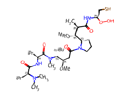 CC[C@H](C)[C@@H]([C@@H](CC(=O)N1CCC[C@H]1[C@H](OC)[C@@H](C)C(=O)N[C@@H](CS)OO)OC)N(C)C(=O)[C@@H](NC(=O)[C@H](C(C)C)N(C)C)C(C)C